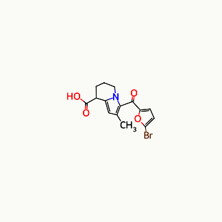 Cc1cc2n(c1C(=O)c1ccc(Br)o1)CCCC2C(=O)O